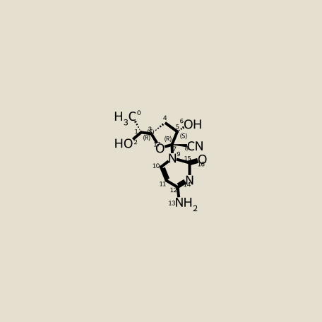 C[C@@H](O)[C@@H]1C[C@H](O)[C@](C#N)(n2ccc(N)nc2=O)O1